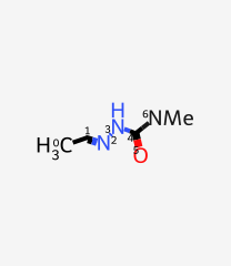 CC=NNC(=O)NC